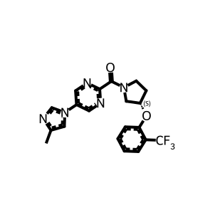 Cc1cn(-c2cnc(C(=O)N3CC[C@H](Oc4ccccc4C(F)(F)F)C3)nc2)cn1